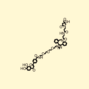 O=CC1(S)CC(=O)N(CCC(=O)NCCC(=O)N2Cc3ccccc3-c3c(nnn3CCOCCOCCOCCNC(=O)c3ccc(-c4cc(=O)c5ccc(O)c(O)c5o4)cc3)-c3ccccc32)C1